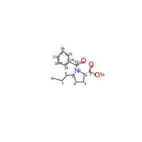 CCCC1CC[C@@H](C(=O)OC)N1C(=O)c1ccccc1